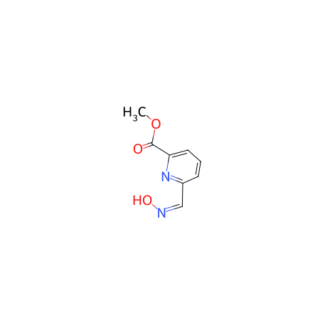 COC(=O)c1cccc(/C=N\O)n1